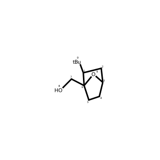 CC(C)(C)C1CC2CCC1(CO)O2